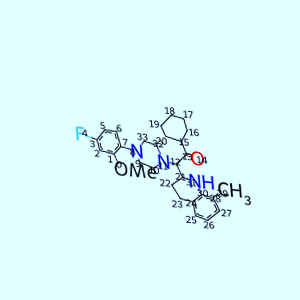 COc1cc(F)ccc1N1CCN(C(C(=O)C2CCCCC2)C2CCc3cccc(C)c3N2)CC1